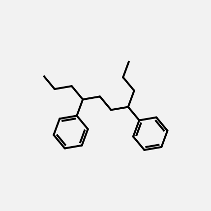 CCCC(CCC(CCC)c1ccccc1)c1ccccc1